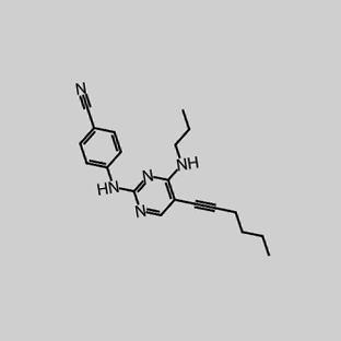 CCCCC#Cc1cnc(Nc2ccc(C#N)cc2)nc1NCCC